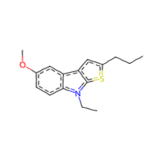 CCCc1cc2c3cc(OC)ccc3n(CC)c2s1